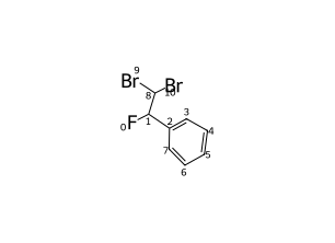 FC(c1ccccc1)C(Br)Br